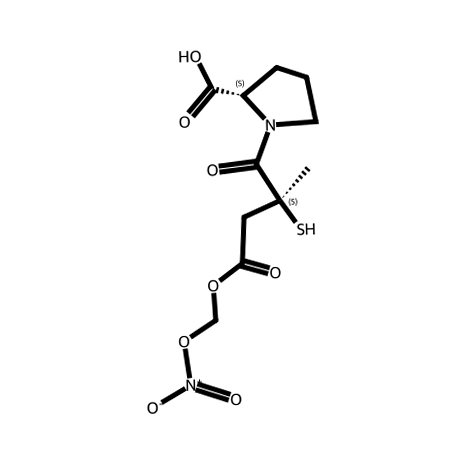 C[C@](S)(CC(=O)OCO[N+](=O)[O-])C(=O)N1CCC[C@H]1C(=O)O